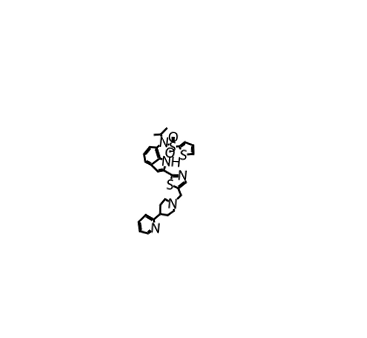 CC(C)N(c1cccc2cc(-c3ncc(CN4CCC(c5ccccn5)CC4)s3)[nH]c12)S(=O)(=O)c1cccs1